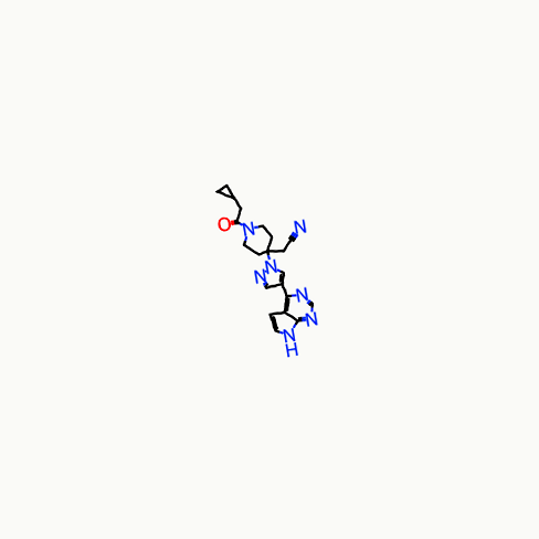 N#CCC1(n2cc(-c3ncnc4[nH]ccc34)cn2)CCN(C(=O)CC2CC2)CC1